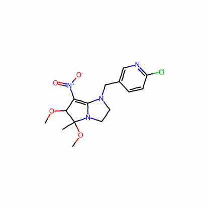 COC1C([N+](=O)[O-])=C2N(Cc3ccc(Cl)nc3)CCN2C1(C)OC